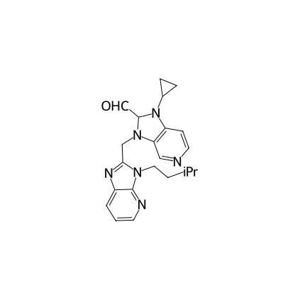 CC(C)CCn1c(CN2c3cnccc3N(C3CC3)C2C=O)nc2cccnc21